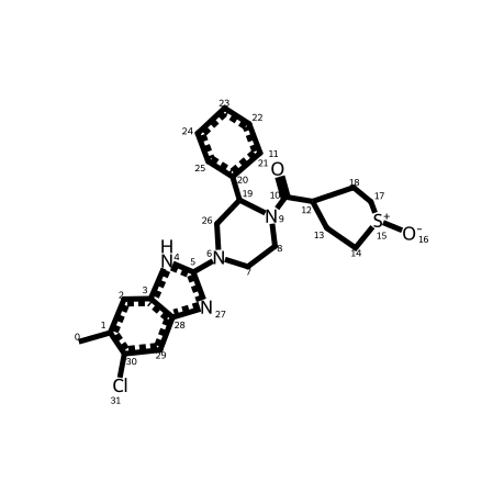 Cc1cc2[nH]c(N3CCN(C(=O)C4CC[S+]([O-])CC4)C(c4ccccc4)C3)nc2cc1Cl